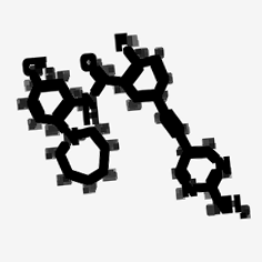 Nc1ncc(C#Cc2ccc(F)c(C(=O)Nc3cc(C(F)(F)F)ccc3N3CCCCCC3)c2)cn1